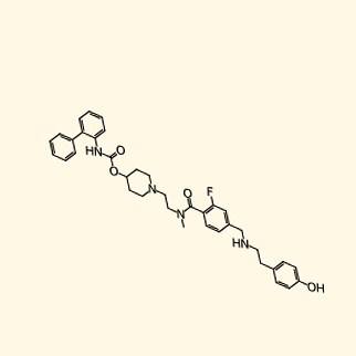 CN(CCN1CCC(OC(=O)Nc2ccccc2-c2ccccc2)CC1)C(=O)c1ccc(CNCCc2ccc(O)cc2)cc1F